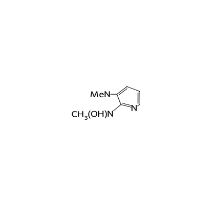 CNc1cccnc1N(C)O